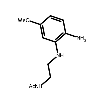 COc1ccc(N)c(NCCNC(C)=O)c1